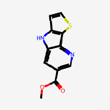 COC(=O)c1cnc2c(c1)[nH]c1ccsc12